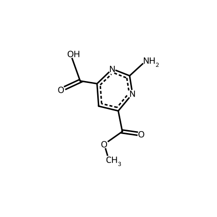 COC(=O)c1cc(C(=O)O)nc(N)n1